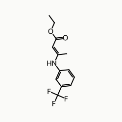 CCOC(=O)/C=C(\C)Nc1cccc(C(F)(F)F)c1